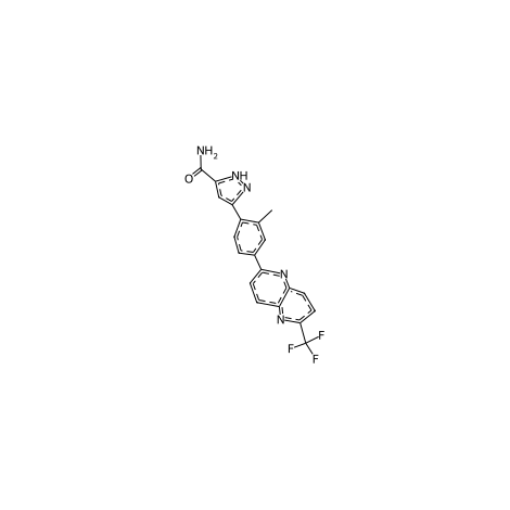 Cc1cc(-c2ccc3nc(C(F)(F)F)ccc3n2)ccc1-c1cc(C(N)=O)[nH]n1